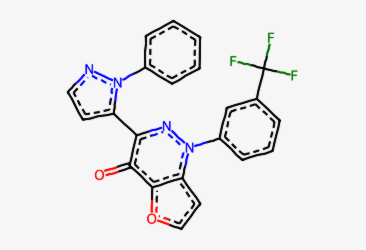 O=c1c(-c2ccnn2-c2ccccc2)nn(-c2cccc(C(F)(F)F)c2)c2ccoc12